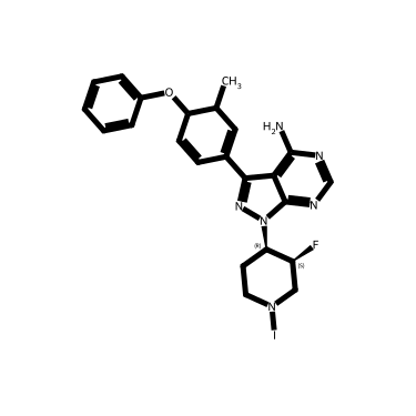 CC1C=C(c2nn([C@@H]3CCN(I)C[C@@H]3F)c3ncnc(N)c23)C=CC1Oc1ccccc1